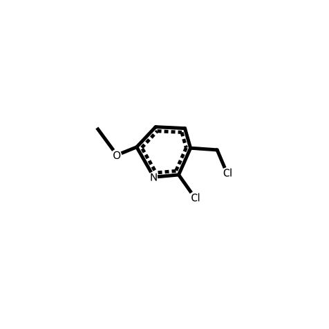 COc1ccc(CCl)c(Cl)n1